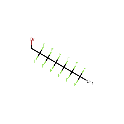 FC(F)(F)C(F)(F)C(F)(F)C(F)(F)C(F)(F)C(F)(F)C(F)(F)CBr